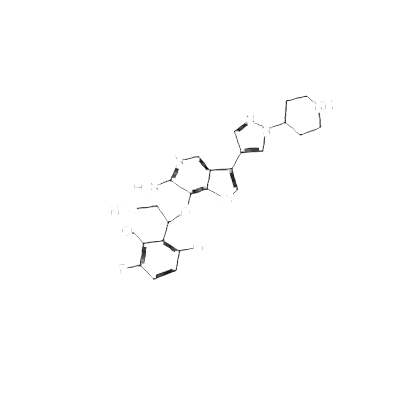 CCC(Oc1c(N)ncc2c(-c3cnn(C4CCNCC4)c3)coc12)c1c(Cl)ccc(F)c1Cl